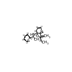 CCC(=O)O[C@]1(N[C@@H](C)c2ccccc2)CC=CN=C1CC